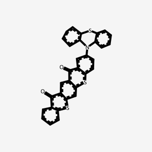 O=c1c2ccccc2sc2cc3sc4ccc(N5c6ccccc6Sc6ccccc65)cc4c(=O)c3cc12